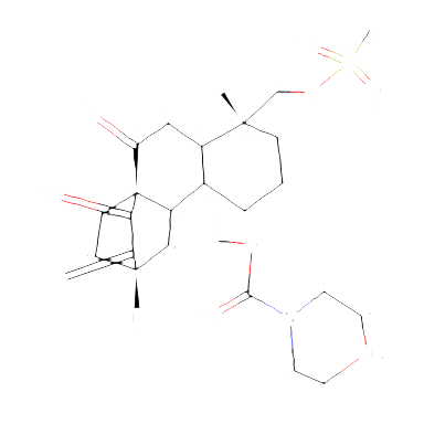 C=C1C(=O)[C@]23CC[C@H]1CC2[C@]1(COC(=O)N2CCOCC2)CCC[C@@](C)(COS(C)(=O)=O)C1CC3=O